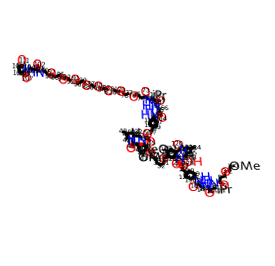 COCCOCCC(=O)N[C@@H](C(=O)N[C@H](C)C(=O)Nc1ccc(COC(=O)N2c3cc(OCCCCCOc4cc5c(cc4OC)C(=O)N4C=C(C)C[C@H]4CN5C(=O)OCc4ccc(NC(=O)[C@@H](C)NC(=O)[C@H](NC(=O)CCOCCOCCOCCOCCOCCOCCOCCOCCNC(=O)CCN5C(=O)C=CC5=O)C(C)C)cc4)c(OC)cc3C(=O)N3C=C(C)C[C@H]3[C@@H]2O)cc1)C(C)C